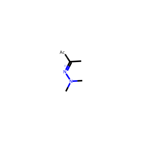 CC(=O)/C(C)=N/N(C)C